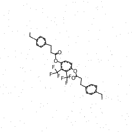 CCc1ccc(CCC(=O)Oc2ccc(OC(=O)CCc3ccc(CC)cc3)c(C(F)(F)F)c2C(F)(F)F)cc1